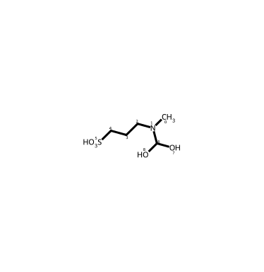 CN(CCCS(=O)(=O)O)C(O)O